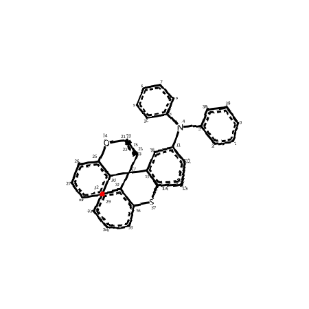 c1ccc(N(c2ccccc2)c2ccc3c(c2)C2(c4ccccc4Oc4ccccc42)c2ccccc2S3)cc1